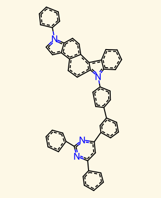 c1ccc(-c2cc(-c3cccc(-c4ccc(-n5c6ccccc6c6c7ccc8c(ccn8-c8ccccc8)c7ccc65)cc4)c3)nc(-c3ccccc3)n2)cc1